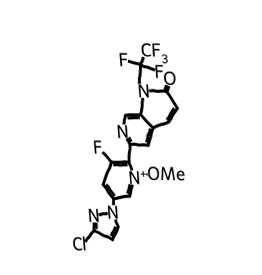 CO[n+]1cc(-n2ccc(Cl)n2)cc(F)c1-c1cc2ccc(=O)n(CC(F)(F)C(F)(F)F)c2cn1